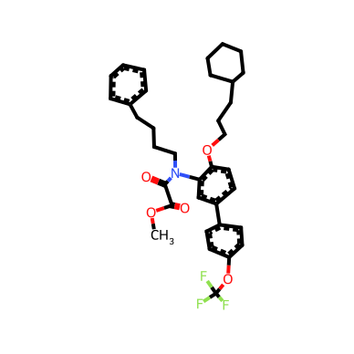 COC(=O)C(=O)N(CCCCc1ccccc1)c1cc(-c2ccc(OC(F)(F)F)cc2)ccc1OCCCC1CCCCC1